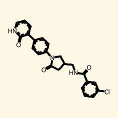 O=C(NCC1CC(=O)N(c2ccc(-c3ccc[nH]c3=O)cc2)C1)c1cccc(Cl)c1